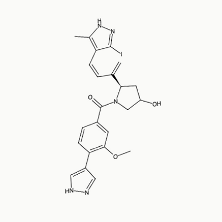 C=C(/C=C\c1c(I)n[nH]c1C)[C@H]1CC(O)CN1C(=O)c1ccc(-c2cn[nH]c2)c(OC)c1